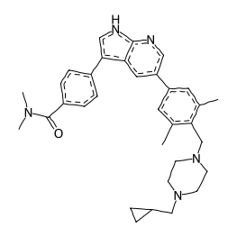 Cc1cc(-c2cnc3[nH]cc(-c4ccc(C(=O)N(C)C)cc4)c3c2)cc(C)c1CN1CCN(CC2CC2)CC1